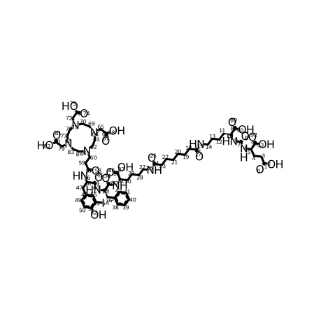 O=C(O)CCC(NC(=O)N[C@@H](CCCCNC(=O)CCCCCCC(=O)NCCCCC(NC(=O)[C@@H](Cc1ccccc1)NC(=O)C(Cc1ccc(O)c(I)c1)NC(=O)CCN1CCN(CC(=O)O)CCN(CC(=O)O)CCN(CC(=O)O)CC1)C(=O)O)C(=O)O)C(=O)O